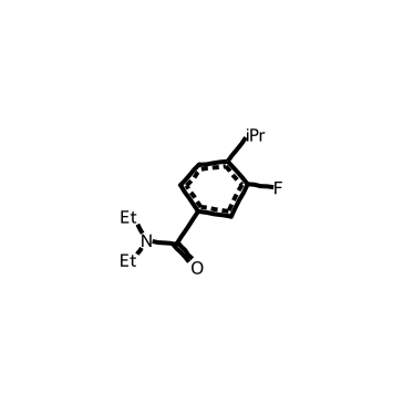 CCN(CC)C(=O)c1ccc(C(C)C)c(F)c1